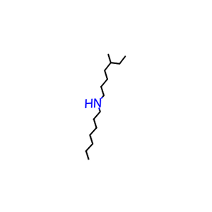 CCCCCCCNCCCCC(C)CC